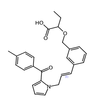 CCC(OCc1cccc(/C=C/Cn2cccc2C(=O)c2ccc(C)cc2)c1)C(=O)O